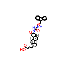 C[C@H](CCC(=O)O)[C@H]1CC[C@H]2[C@@H]3CC[C@@H]4C[C@@H](NC(=O)CNOCC5c6ccccc6-c6ccccc65)C(=O)C[C@]4(C)[C@H]3CC[C@]12C